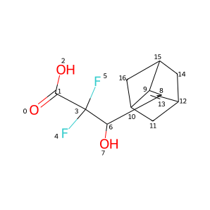 O=C(O)C(F)(F)C(O)C1=C2C3CC(C1)CC2C3